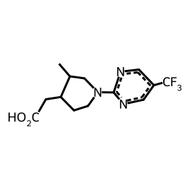 CC1CN(c2ncc(C(F)(F)F)cn2)CCC1CC(=O)O